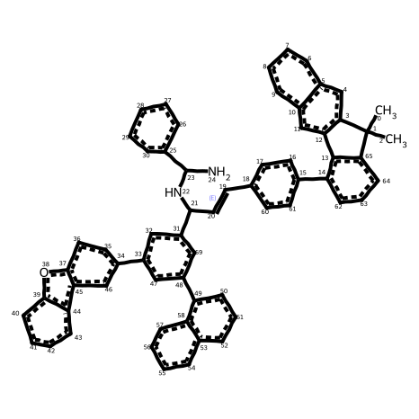 CC1(C)c2cc3ccccc3cc2-c2c(-c3ccc(/C=C/C(NC(N)c4ccccc4)c4cc(-c5ccc6oc7ccccc7c6c5)cc(-c5cccc6ccccc56)c4)cc3)cccc21